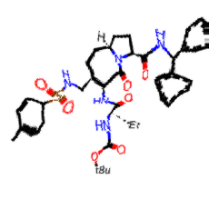 CC[C@H](NC(=O)OC(C)(C)C)C(=O)N[C@@H]1C(=O)N2[C@@H](CC[C@@H]1CNS(=O)(=O)C1C=CC(C)=CC1)CC[C@H]2C(=O)NC(c1ccccc1)c1ccccc1